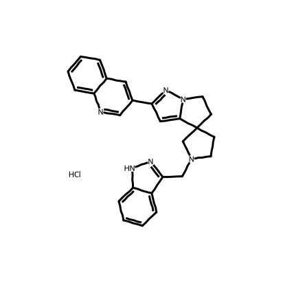 Cl.c1ccc2ncc(-c3cc4n(n3)CCC43CCN(Cc4n[nH]c5ccccc45)C3)cc2c1